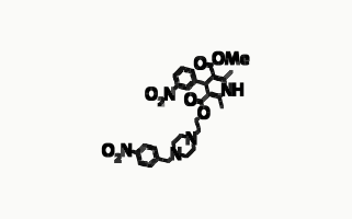 COC(=O)C1=C(C)NC(C)=C(C(=O)OCCN2CCN(Cc3ccc([N+](=O)[O-])cc3)CC2)C1c1cccc([N+](=O)[O-])c1